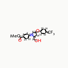 COC(=O)c1ccc(N2C[C@H](Oc3ccc(C(F)(F)F)cc3)C[C@H]2CO)cc1